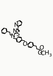 COC(=O)CCc1ccc(OCc2ccc(CN(CCc3ccccc3)c3nc(-c4ccccn4)cs3)cc2)cc1